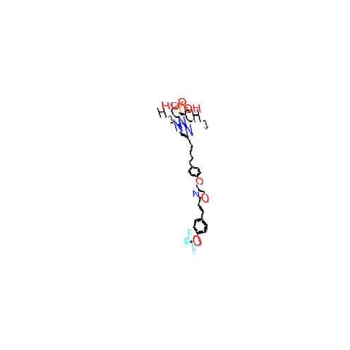 CC(C)(n1ncc(CCCCc2ccc(OCc3coc(/C=C/c4ccc(OC(F)(F)F)cc4)n3)cc2)n1)P(=O)(O)O